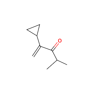 C=C(C(=O)C(C)C)C1CC1